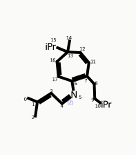 CC(C)=C/C=N\C1=C(CCC(C)C)C=CC(C)(C(C)C)C=C1